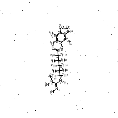 [2H]/N=C(\N([2H])[2H])N([2H])C([2H])([2H])C([2H])([2H])C([2H])([2H])C([2H])([2H])C([2H])([2H])C(=O)Oc1c([2H])c([2H])c(C(=O)OCC)c([2H])c1[2H]